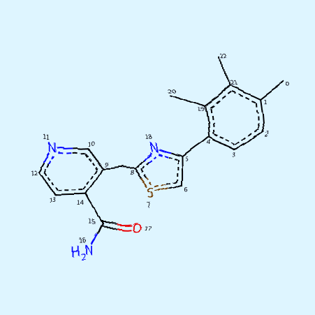 Cc1ccc(-c2csc(-c3cnccc3C(N)=O)n2)c(C)c1C